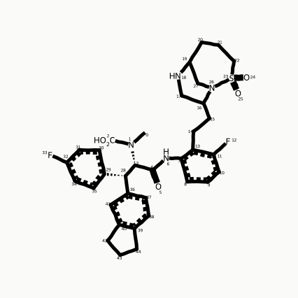 CN(C(=O)O)[C@H](C(=O)Nc1cccc(F)c1CCC1CNC2CCCS(=O)(=O)N1C2)[C@@H](c1ccc(F)cc1)c1ccc2c(c1)CCC2